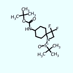 CC(C)(C)OC(=O)NC1CCC2(CC1)N([S+]([O-])C(C)(C)C)CC2(F)F